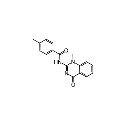 Cc1ccc(C(=O)Nc2nc(=O)c3ccccc3n2C)cc1